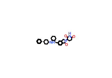 O=C1CCC(N2Cc3cc(C[C@H]4CCCC[C@@H]4N[C@H]4CC[C@@H](c5ccccc5)CC4)ccc3C2=O)C(=O)N1